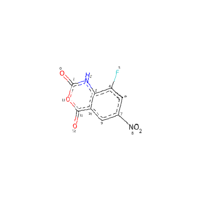 O=c1[nH]c2c(F)cc([N+](=O)[O-])cc2c(=O)o1